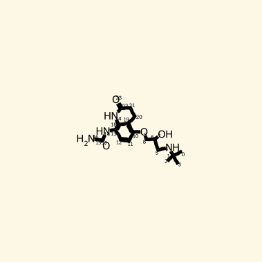 CC(C)(C)NCC(O)COc1ccc(NC(N)=O)c2c1CCC(=O)N2